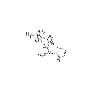 CN1Cc2c(Cl)cccc2-n2cnc(C#C[Si](C)(C)C)c2C1=O